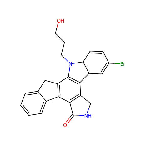 O=C1NCc2c1c1c(c3c2C2C=C(Br)C=CC2N3CCCO)Cc2ccccc2-1